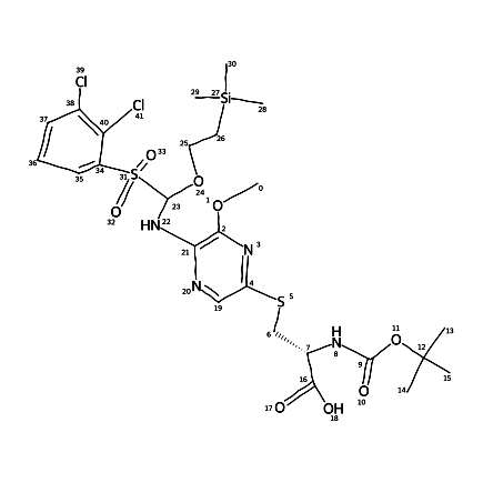 COc1nc(SC[C@H](NC(=O)OC(C)(C)C)C(=O)O)cnc1NC(OCC[Si](C)(C)C)S(=O)(=O)c1cccc(Cl)c1Cl